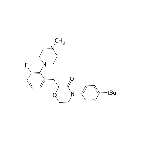 CN1CCN(c2c(F)cccc2CC2OCCN(c3ccc(C(C)(C)C)cc3)C2=O)CC1